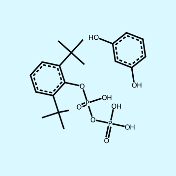 CC(C)(C)c1cccc(C(C)(C)C)c1OP(=O)(O)OP(=O)(O)O.Oc1cccc(O)c1